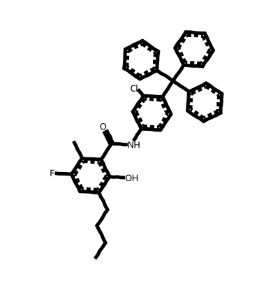 CCCCc1cc(F)c(C)c(C(=O)Nc2ccc(C(c3ccccc3)(c3ccccc3)c3ccccc3)c(Cl)c2)c1O